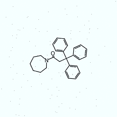 O=C(CC(c1ccccc1)(c1ccccc1)c1ccccc1)N1CCCCCC1